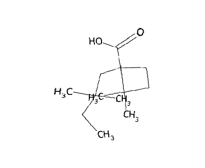 CCC(C)(C)CC1(C(=O)O)CCC1(C)C